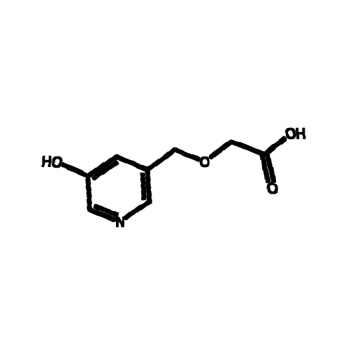 O=C(O)COCc1cncc(O)c1